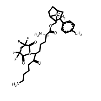 Cc1ccc(C2CC3CCC(C2)[N+]3(C)COC(=O)[C@@H](N)CCCC(C(=O)CCCCN)N(C(=O)C(F)(F)F)C(=O)C(F)(F)F)cc1